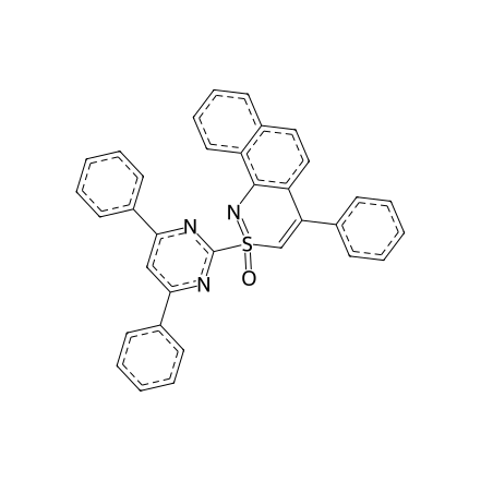 O=S1(c2nc(-c3ccccc3)cc(-c3ccccc3)n2)=Nc2c(ccc3ccccc23)C(c2ccccc2)=C1